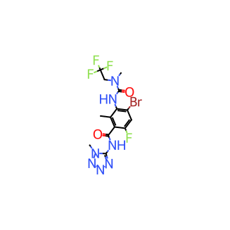 Cc1c(NC(=O)N(C)CC(F)(F)F)c(Br)cc(F)c1C(=O)Nc1nnnn1C